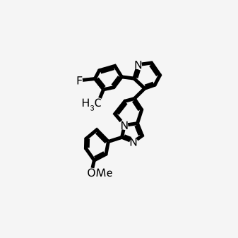 COc1cccc(-c2ncc3cc(-c4cccnc4-c4ccc(F)c(C)c4)ccn23)c1